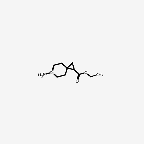 CCOC(=O)C1CC12CCN(P)CC2